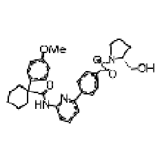 COc1ccc(C2(C(=O)Nc3cccc(-c4ccc(S(=O)(=O)N5CCC[C@@H]5CO)cc4)n3)CCCCC2)cc1